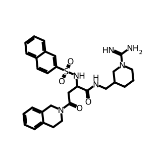 N=C(N)N1CCCC(CNC(=O)C(CC(=O)N2CCc3ccccc3C2)NS(=O)(=O)c2ccc3ccccc3c2)C1